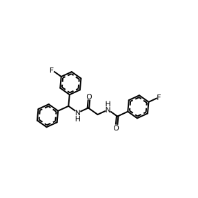 O=C(CNC(=O)c1ccc(F)cc1)NC(c1ccccc1)c1cccc(F)c1